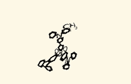 Cc1cccc(N(c2ccccc2)c2ccc(-c3cc4c5c(c3)Oc3cc6c7ccccc7c7ccccc7c6cc3B5c3ccc(N(c5ccccc5)c5ccccc5)cc3O4)cc2)c1